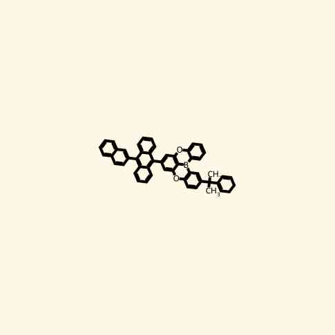 CC(C)(C1=CCCC=C1)c1ccc2c(c1)B1c3ccccc3Oc3cc(-c4c5ccccc5c(-c5ccc6ccccc6c5)c5ccccc45)cc(c31)O2